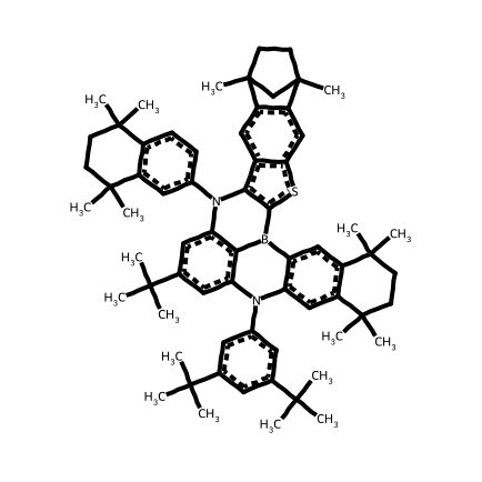 CC(C)(C)c1cc(N2c3cc4c(cc3B3c5sc6cc7c(cc6c5N(c5ccc6c(c5)C(C)(C)CCC6(C)C)c5cc(C(C)(C)C)cc2c53)C2(C)CCC7(C)C2)C(C)(C)CCC4(C)C)cc(C(C)(C)C)c1